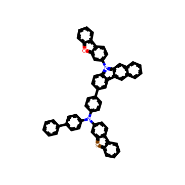 c1ccc(-c2ccc(N(c3ccc(-c4ccc5c(c4)c4cc6ccccc6cc4n5-c4ccc5c(c4)oc4ccccc45)cc3)c3ccc4c(c3)sc3ccccc34)cc2)cc1